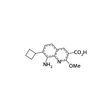 COc1nc2c(N)c(C3CCC3)ccc2cc1C(=O)O